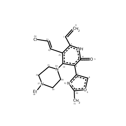 C=Cc1[nH]c(=O)c(-c2coc(C)n2)c(N2CCN(CC)CC2)c1C=CCl